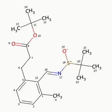 Cc1cccc(CCC(=O)OC(C)(C)C)c1C=N[S+]([O-])C(C)(C)C